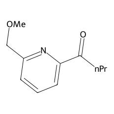 CCCC(=O)c1cccc(COC)n1